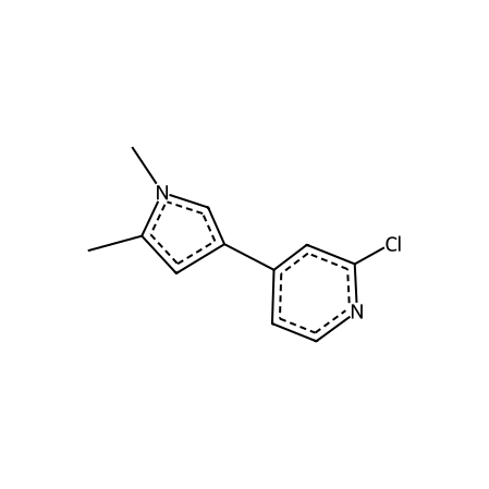 Cc1cc(-c2ccnc(Cl)c2)cn1C